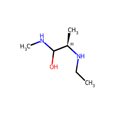 CCN[C@H](C)C(O)NC